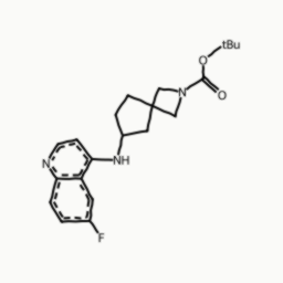 CC(C)(C)OC(=O)N1CC2(CCC(Nc3ccnc4ccc(F)cc34)C2)C1